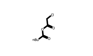 CCC[CH]C(=O)OC(=O)CCl